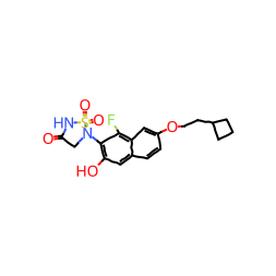 O=C1CN(c2c(O)cc3ccc(OCCC4CCC4)cc3c2F)S(=O)(=O)N1